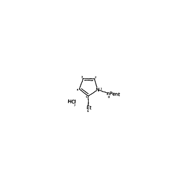 CCCCCn1cccc1CC.Cl